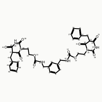 O=C(NCc1cccc(CNC(=O)OCCN2C(=O)NC(=O)C(Cc3ccccc3)C2=O)c1)OCCN1C(=O)NC(=O)C(Cc2ccccc2)C1=O